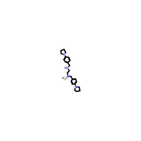 CN(CCNCc1ccc(N2CCCC2)cc1)Cc1ccc(N2CCCC2)cc1